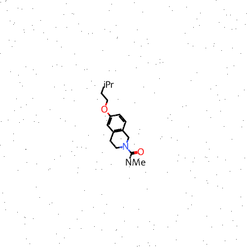 CNC(=O)N1CCc2cc(OCCC(C)C)ccc2C1